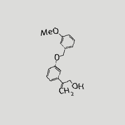 C=C(CO)c1cccc(OCc2cccc(OC)c2)c1